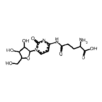 NC(CCC(=O)Nc1ccn(C2OC(CO)C(O)C2O)c(=O)n1)C(=O)O